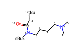 CCCCN(CCCCN(C)C)C(=O)CC(C)(C)C